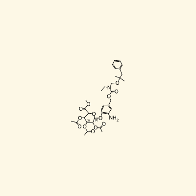 CCN(COC(C)(C)Cc1ccccc1)C(=O)OCc1ccc(O[C@@H]2OC(C(=O)OC)C(OC(C)=O)[C@H](OC(C)=O)C2OC(C)=O)c(N)c1